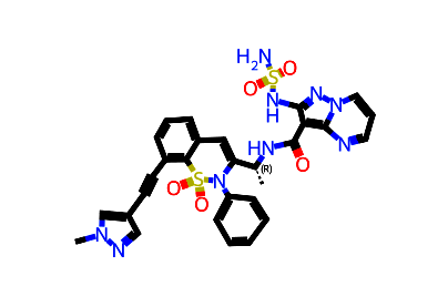 C[C@@H](NC(=O)c1c(NS(N)(=O)=O)nn2cccnc12)C1=Cc2cccc(C#Cc3cnn(C)c3)c2S(=O)(=O)N1c1ccccc1